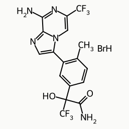 Br.Cc1ccc(C(O)(C(N)=O)C(F)(F)F)cc1-c1cnc2c(N)nc(C(F)(F)F)cn12